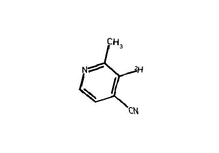 [2H]c1c(C#N)ccnc1C